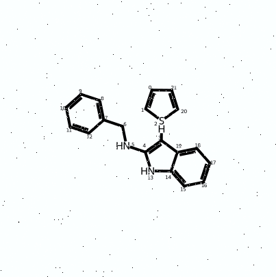 C1=C[SH](c2c(NCc3ccccc3)[nH]c3ccccc23)C=C1